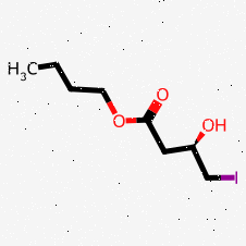 CCCCOC(=O)C[C@@H](O)CI